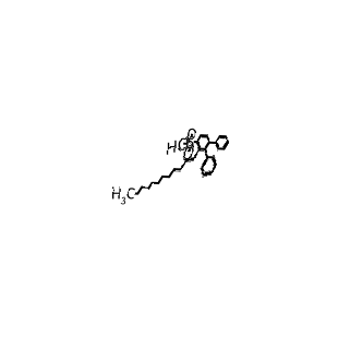 CCCCCCCCCCCCc1c(S(=O)(=O)O)ccc(-c2ccccc2)c1-c1ccccc1